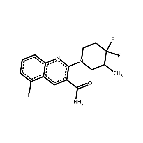 CC1CN(c2nc3cccc(F)c3cc2C(N)=O)CCC1(F)F